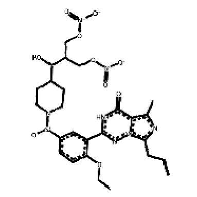 CCCc1nc(C)c2c(=O)[nH]c(-c3cc([S+]([O-])N4CCC(C(O)C(CO[N+](=O)[O-])CO[N+](=O)[O-])CC4)ccc3OCC)nn12